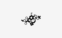 CCOC(=O)c1cn2c3c(c(F)c(F)cc3c1=O)N(C(=O)OC(C)(C)C)CCC21CCC1